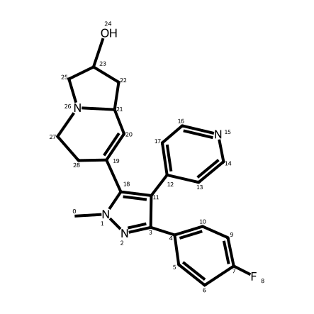 Cn1nc(-c2ccc(F)cc2)c(-c2ccncc2)c1C1=CC2CC(O)CN2CC1